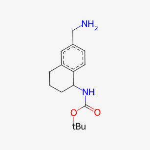 CC(C)(C)OC(=O)NC1CCCc2cc(CN)ccc21